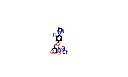 CCS(=O)(=O)N[C@H]1CCOC[C@@H]1COc1ccc(-n2cccn2)c(F)c1